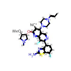 CC=CN1CCN(c2c(C#N)c(O[C@@H]3CN(C)C[C@H]3OC)nc3c(F)c(-c4ccc(F)c5sc(N)nc45)ncc23)CC1